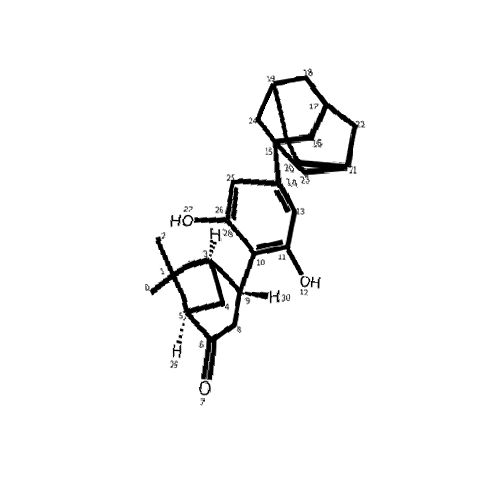 CC1(C)[C@@H]2C[C@H]1C(=O)C[C@H]2c1c(O)cc(C23CC4CC(CC(C4)C2)C3)cc1O